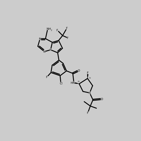 CC(C)(F)C(=O)N1C[C@H](F)[C@H](NC(=O)c2cc(-c3cc(C(F)(F)F)c4c(N)ncnn34)cc(F)c2Cl)C1